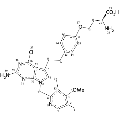 COc1c(C)cnc(Cn2cc(CCc3ccc(OCC[C@H](N)C(=O)O)cc3)c3c(Cl)nc(N)nc32)c1C